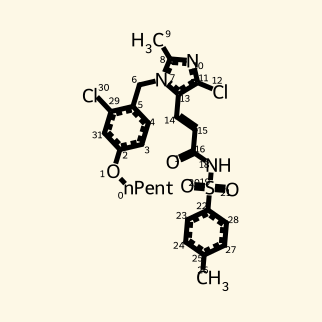 CCCCCOc1ccc(Cn2c(C)nc(Cl)c2C=CC(=O)NS(=O)(=O)c2ccc(C)cc2)c(Cl)c1